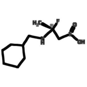 C[C@@](F)(CS(=O)O)NCC1CCCCC1